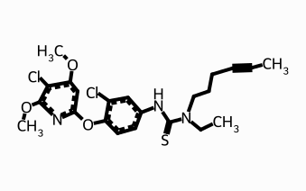 CC#CCCCN(CC)C(=S)Nc1ccc(Oc2cc(OC)c(Cl)c(OC)n2)c(Cl)c1